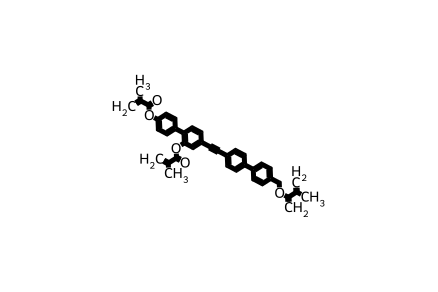 C=C(C)C(=C)OCc1ccc(-c2ccc(C#Cc3ccc(-c4ccc(OC(=O)C(=C)C)cc4)c(OC(=O)C(=C)C)c3)cc2)cc1